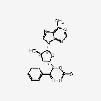 Nc1ncnc2c1ncn2[C@@H]1O[C@H](C(O[P](=O)O)C(=O)c2ccccc2)C[C@H]1O